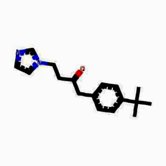 CC(C)(C)c1ccc(CC(=O)CCn2ccnc2)cc1